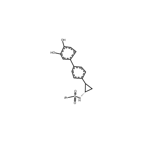 CC(C)S(=O)(=O)N[C@H]1CC1c1ccc(-c2ccc(O)c(O)c2)cc1